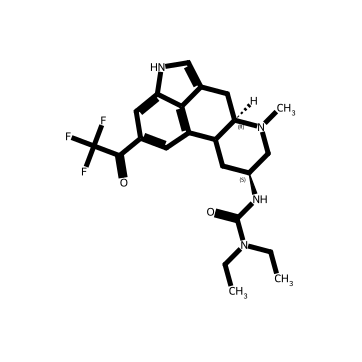 CCN(CC)C(=O)N[C@H]1CC2c3cc(C(=O)C(F)(F)F)cc4[nH]cc(c34)C[C@H]2N(C)C1